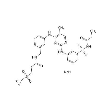 CCC(=O)NS(=O)(=O)c1cccc(Nc2ncc(C)c(Nc3cccc(CNC(=O)CCS(=O)(=O)C4CC4)c3)n2)c1.[NaH]